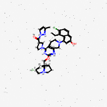 CCc1c(F)ccc2cc(O)cc(N3CCc4c(nc(OC[C@@]56CCCN5C[C@H](F)C6)nc4N4CCC(C(=O)n5ccc(C)n5)C4)C3)c12